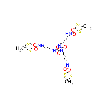 C=C1CSCC(OC(=O)NCCCCCC/N=c2\on(CCCCCCNC(=O)OC3CSCC(=C)CSC3)c(=O)n(CCCCCCNC(=O)OC3CSCC(=C)CSC3)c2=O)CSC1